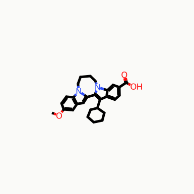 COc1ccc2c(c1)cc1n2CCCCn2c-1c(C1CCCCC1)c1ccc(C(=O)O)cc12